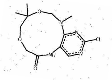 CN1COC(C)(C)COCC(=O)Nc2cnc(Cl)nc21